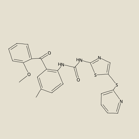 COc1ccccc1C(=O)c1cc(C)ccc1NC(=O)Nc1ncc(Sc2ccccn2)s1